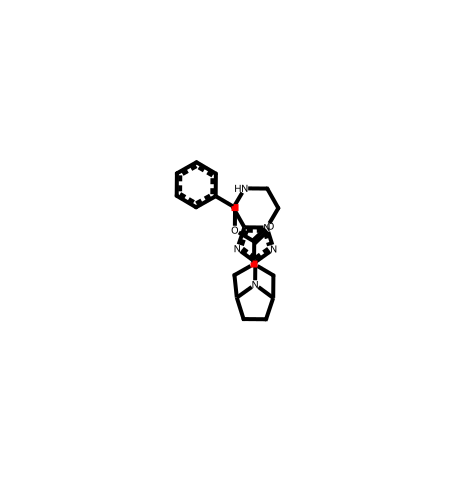 O=C(OCc1ccccc1)N1CC2CCC(C1)N2c1nc2n(n1)CCNC2